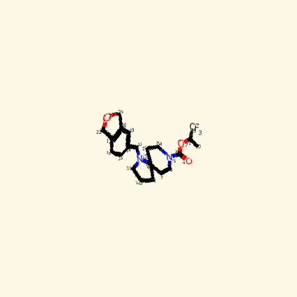 CC(OC(=O)N1CCC2(CCCN2Cc2ccc3c(c2)COC3)CC1)C(F)(F)F